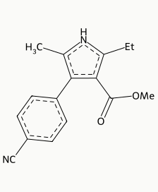 CCc1[nH]c(C)c(-c2ccc(C#N)cc2)c1C(=O)OC